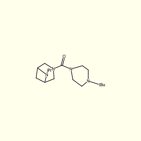 CC(C)N1C2CC1CN(C(=O)N1CCN(C(C)(C)C)CC1)C2